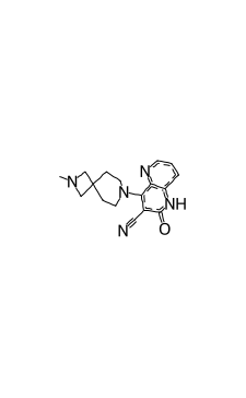 CN1CC2(CCN(c3c(C#N)c(=O)[nH]c4cccnc34)CC2)C1